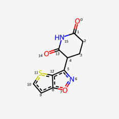 O=C1CCC(c2noc3ccsc23)C(=O)N1